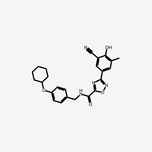 Cc1cc(-c2noc(C(=O)NCc3ccc(OC4CCCCC4)cc3)n2)cc(C#N)c1O